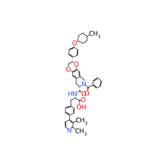 Cc1nccc(-c2ccc(CC(NC(=O)[C@@H]3Cc4cc5c(cc4CN3C(=O)c3ccccc3)O[C@@H](c3ccc(OC4CCC(C)CC4)cc3)CO5)C(=O)O)cc2)c1C